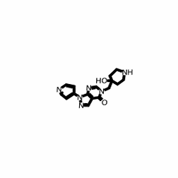 O=c1c2cnn(-c3ccncc3)c2ncn1CC1(O)CCNCC1